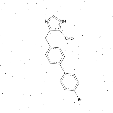 O=Cc1[nH]cnc1Cc1ccc(-c2ccc(Br)cc2)cc1